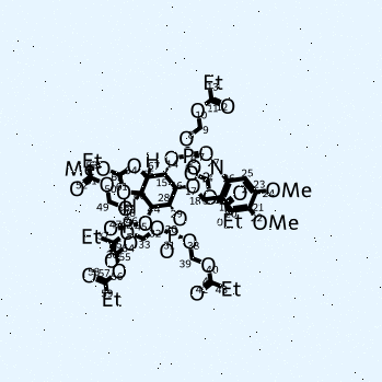 CCC(=O)OCOP(=O)(OCOC(=O)CC)O[C@@H]1[C@@H](OCc2cc(OC)c(OC)cc2[N+](=O)[O-])[C@H](OP(=O)(OCOC(=O)CC)OCOC(=O)CC)[C@@H](OP(=O)(OCOC(=O)CC)OCOC(=O)CC)[C@@H]2OC(OC)O[C@@H]21